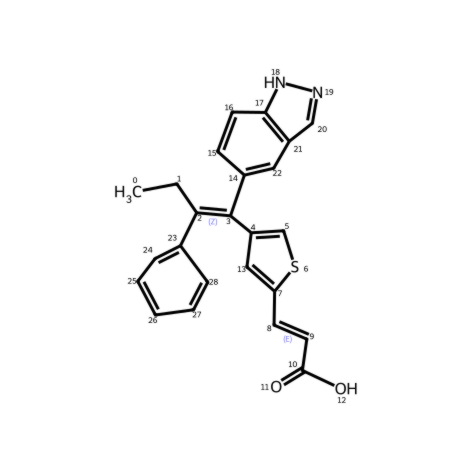 CC/C(=C(/c1csc(/C=C/C(=O)O)c1)c1ccc2[nH]ncc2c1)c1ccccc1